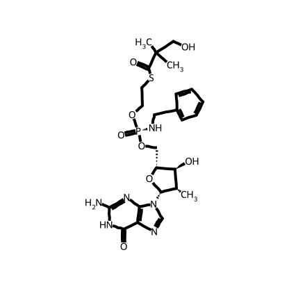 C[C@H]1[C@H](O)[C@@H](CO[P@](=O)(NCc2ccccc2)OCCSC(=O)C(C)(C)CO)O[C@H]1n1cnc2c(=O)[nH]c(N)nc21